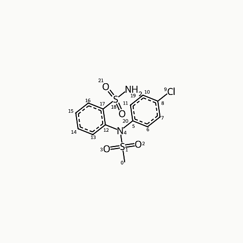 CS(=O)(=O)N(c1ccc(Cl)cc1)c1ccccc1S(N)(=O)=O